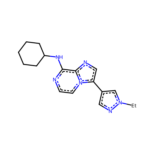 CCn1cc(-c2cnc3c(NC4CCCCC4)nccn23)cn1